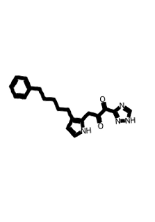 O=C(Cc1[nH]ccc1CCCCCc1ccccc1)C(=O)c1nc[nH]n1